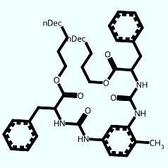 CCCCCCCCCCCCCOC(=O)C(Cc1ccccc1)NC(=O)Nc1ccc(C)c(NC(=O)NC(Cc2ccccc2)C(=O)OCCCCCCCCCCCCC)c1